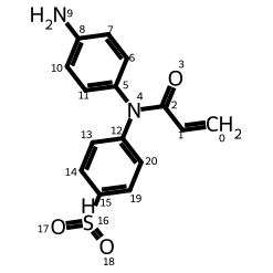 C=CC(=O)N(c1ccc(N)cc1)c1ccc([SH](=O)=O)cc1